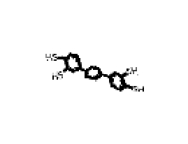 Sc1ccc(-c2ccc(-c3ccc(S)c(S)c3)cc2)cc1S